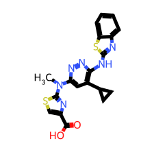 CN(c1cc(C2CC2)c(Nc2nc3ccccc3s2)nn1)c1nc(C(=O)O)cs1